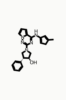 CC1=CC(Nc2nc(N3C[C@@H](O)[C@H](c4ccccc4)C3)nn3cccc23)=CC1